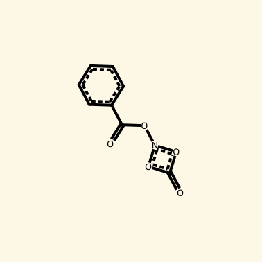 O=C(On1oc(=O)o1)c1ccccc1